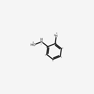 [2H]c1ccccc1NO